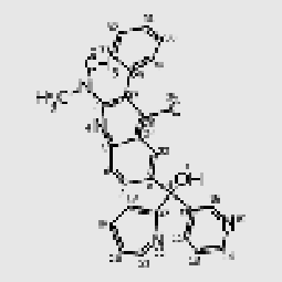 CN(C)c1nc2ccc(C(O)(c3cccnc3)c3ccccn3)cc2c(Cl)c1-c1ccccc1